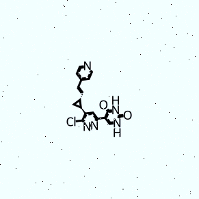 O=c1[nH]cc(-c2cc([C@H]3C[C@@H]3/C=C/c3ccncc3)c(Cl)nn2)c(=O)[nH]1